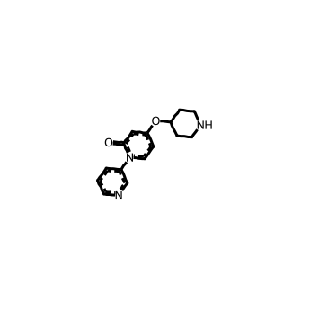 O=c1cc(OC2CCNCC2)ccn1-c1cccnc1